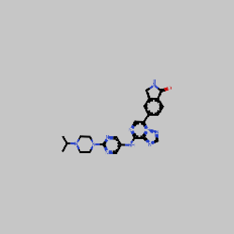 CC(C)N1CCN(c2ncc(Nc3ncc(-c4ccc5c(c4)CNC5=O)n4ncnc34)cn2)CC1